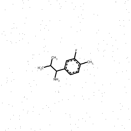 Cc1ccc(C(N)C(C)C)cc1F